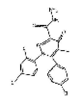 Cc1c(-c2ccc(Cl)cc2)n(-c2ccc(Cl)cc2Cl)nc(C(=O)NN)c1=O